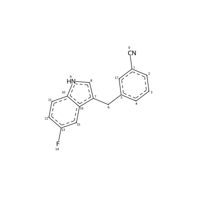 N#Cc1cccc(Cc2c[nH]c3ccc(F)cc23)c1